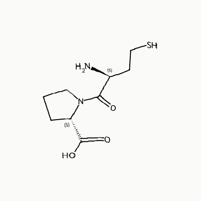 N[C@@H](CCS)C(=O)N1CCC[C@H]1C(=O)O